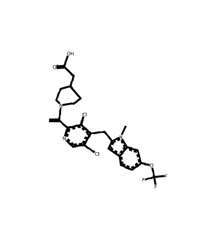 C=C(c1ncc(Cl)c(Cc2cc3ccc(OC(F)(F)F)cc3n2C)c1Cl)N1CCC(CC(=O)O)CC1